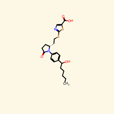 CCCCCC(O)c1ccc(N2C(=O)CC[C@@H]2CCSc2ncc(C(=O)O)s2)cc1